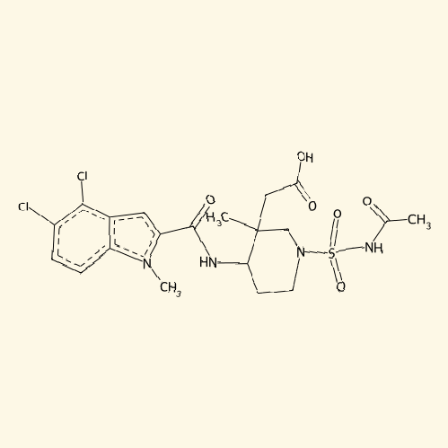 CC(=O)NS(=O)(=O)N1CCC(NC(=O)c2cc3c(Cl)c(Cl)ccc3n2C)C(C)(CC(=O)O)C1